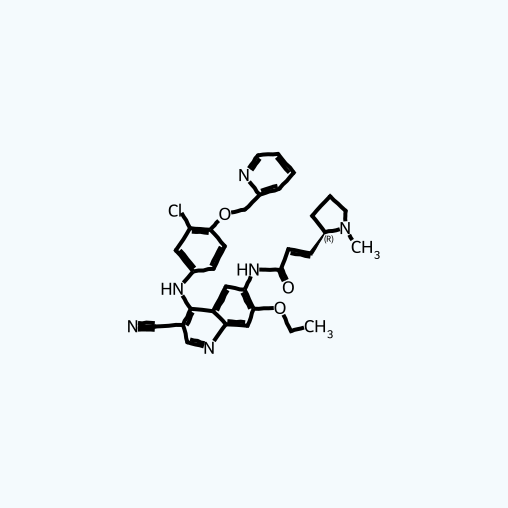 CCOc1cc2ncc(C#N)c(Nc3ccc(OCc4ccccn4)c(Cl)c3)c2cc1NC(=O)C=C[C@H]1CCCN1C